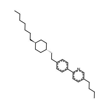 CCCCCCC[C@H]1CC[C@H](CCc2ccc(-c3ccc(CCCC)cn3)cc2)CC1